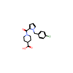 O=C(O)C1CCN(C(=O)c2cccn2Cc2ccc(Cl)cc2)CC1